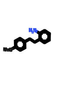 COc1ccc(CCc2ccccc2N)cc1